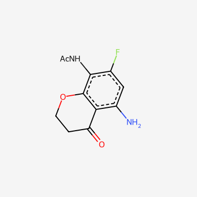 CC(=O)Nc1c(F)cc(N)c2c1OCCC2=O